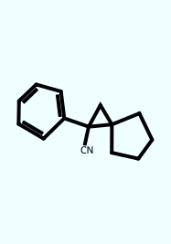 N#CC1(c2ccccc2)CC12CCCC2